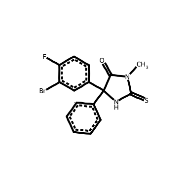 CN1C(=O)C(c2[c]cccc2)(c2ccc(F)c(Br)c2)NC1=S